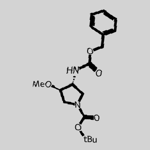 CO[C@@H]1CN(C(=O)OC(C)(C)C)C[C@H]1NC(=O)OCc1ccccc1